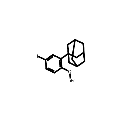 CC(C)Oc1ccc(I)cc1C12CC3CC(CC(C3)C1)C2